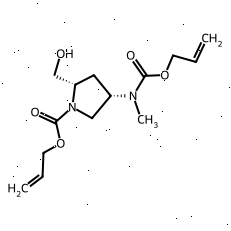 C=CCOC(=O)N(C)[C@H]1C[C@@H](CO)N(C(=O)OCC=C)C1